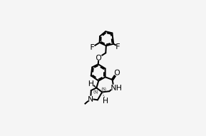 CN1C[C@@H]2CNC(=O)c3cc(OCc4c(F)cccc4F)ccc3[C@H]2C1